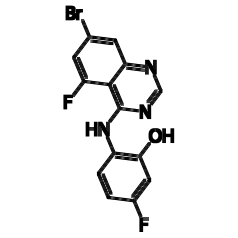 Oc1cc(F)ccc1Nc1ncnc2cc(Br)cc(F)c12